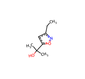 C[CH]c1cc(C(C)(C)O)on1